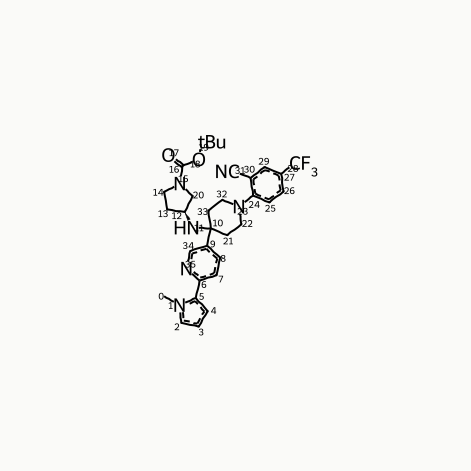 Cn1cccc1-c1ccc(C2(N[C@H]3CCN(C(=O)OC(C)(C)C)C3)CCN(c3ccc(C(F)(F)F)cc3C#N)CC2)cn1